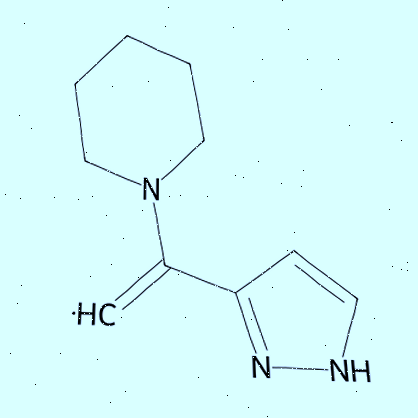 [CH]=C(c1cc[nH]n1)N1CCCCC1